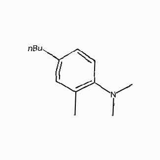 CCCCc1ccc(N(C)C)c(C)c1